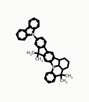 CC1(C)c2cc(-n3c4ccccc4c4ccccc43)ccc2-c2cc3c(cc21)N1c2ccccc2C(C)(C)C2CCCC3C21